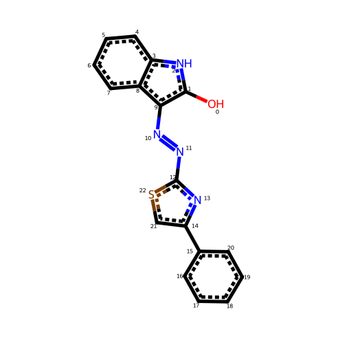 Oc1[nH]c2ccccc2c1N=Nc1nc(-c2ccccc2)cs1